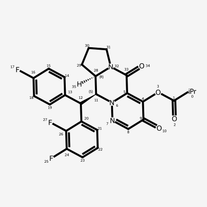 CC(C)C(=O)Oc1c2n(ncc1=O)[C@@H](C(c1ccc(F)cc1)c1cccc(F)c1F)[C@H]1CCCN1C2=O